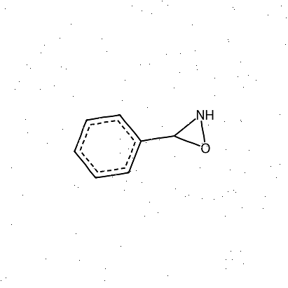 c1ccc(C2NO2)cc1